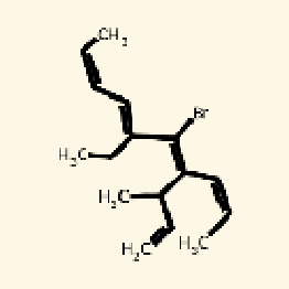 C=CC(C)C(/C=C\C)=C(Br)\C(=C\C=C/C)CC